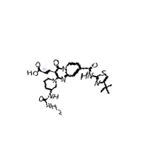 CC(C)(C)c1csc(NC(=O)c2ccn3c(=O)c(/C=C/C(=O)O)c(N4CCCC(NC(N)=O)C4)nc3c2)n1